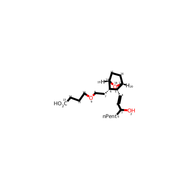 CCCCCC(O)/C=C/[C@@H]1[C@H](CCOCCCC(=O)O)[C@@H]2CC[C@H]1O2